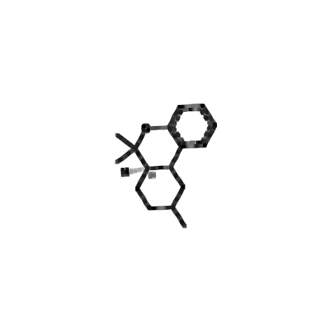 CC1CC[C@@H]2C(C1)c1ccccc1OC2(C)C